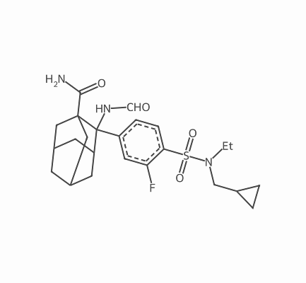 CCN(CC1CC1)S(=O)(=O)c1ccc(C2(NC=O)C3CC4CC(C3)CC2(C(N)=O)C4)cc1F